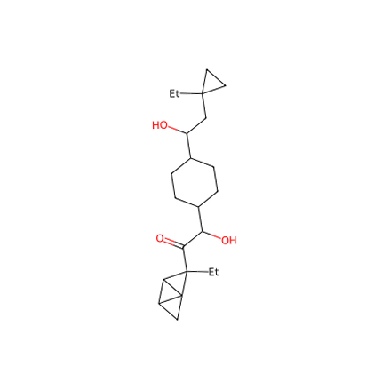 CCC1(CC(O)C2CCC(C(O)C(=O)C3(CC)C4C5CC543)CC2)CC1